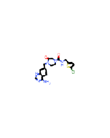 Nc1ncnc2cc(CN3CCN(C(=O)NCc4ccc(Cl)s4)CC3=O)ccc12